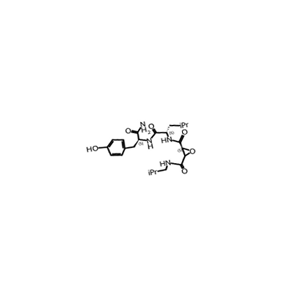 CC(C)CNC(=O)C1O[C@@H]1C(=O)N[C@@H](CC(C)C)C(=O)N[C@@H](Cc1ccc(O)cc1)C(N)=O